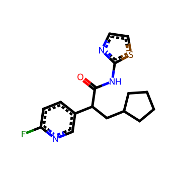 O=C(Nc1nccs1)C(CC1CCCC1)c1ccc(F)nc1